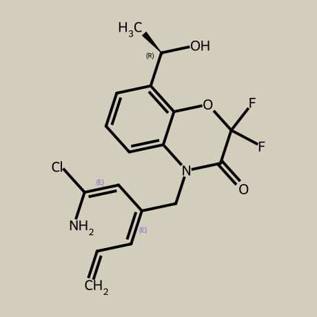 C=C/C=C(\C=C(/N)Cl)CN1C(=O)C(F)(F)Oc2c([C@@H](C)O)cccc21